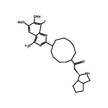 COc1cc2c(N)nc(C3CCCCCC(C(=O)C[C@H]4NCC5CCCC54)CCCC3)nc2c(F)c1OC